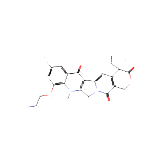 CC[C@@]1(O)C(=O)OCc2c1cc1n(c2=O)Cc2c-1c(=O)c1cc(F)cc(OCCN)c1n2C